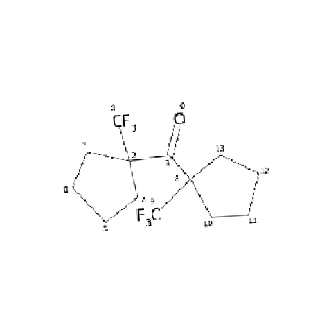 O=C(C1(C(F)(F)F)CCCC1)C1(C(F)(F)F)CCCC1